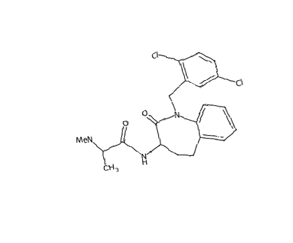 CNC(C)C(=O)NC1CCc2ccccc2N(Cc2cc(Cl)ccc2Cl)C1=O